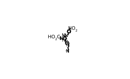 CN(C)CCCN1CCN(c2cc3c(ncn3Cc3ccc([N+](=O)[O-])cc3)c(N(C)CC(=O)O)n2)CC1